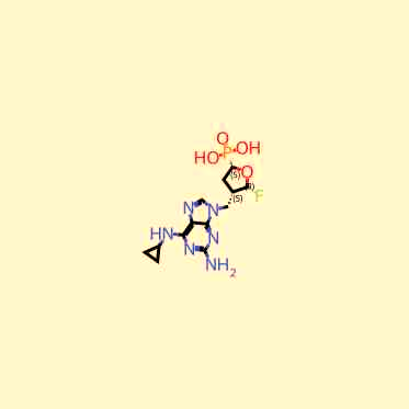 Nc1nc(NC2CC2)c2ncn(C[C@@H]3C[C@H](P(=O)(O)O)O[C@@H]3F)c2n1